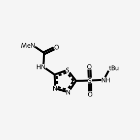 CNC(=O)Nc1nnc(S(=O)(=O)NC(C)(C)C)s1